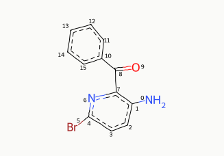 Nc1ccc(Br)nc1C(=O)c1ccccc1